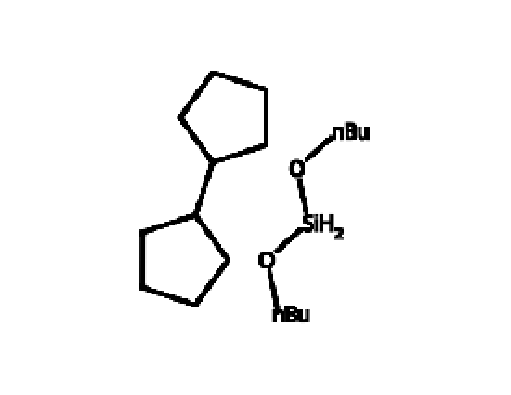 C1CCC(C2CCCC2)C1.CCCCO[SiH2]OCCCC